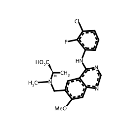 COc1cc2ncnc(Nc3cccc(Cl)c3F)c2cc1CN(C)[C@H](C)C(=O)O